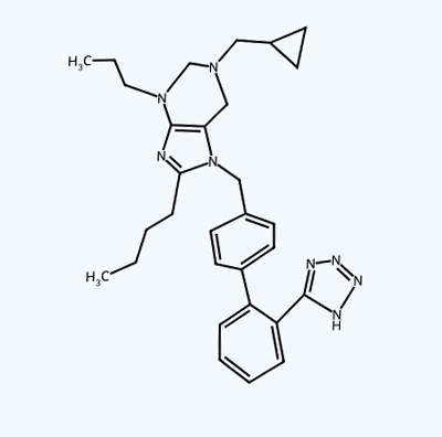 CCCCc1nc2c(n1Cc1ccc(-c3ccccc3-c3nnn[nH]3)cc1)CN(CC1CC1)CN2CCC